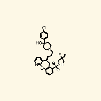 O=S(=O)(NCC(F)(F)F)c1cccc2c1CC(=CCCN1CCC(O)(c3ccc(Cl)cc3)CC1)c1cccnc1O2